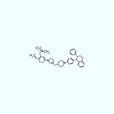 C=CC1=C(CN(C)C)C=C(N2CCN(CC3CCN(c4ccc(C5c6ccccc6CCC5c5ccccc5)cc4)CC3)C2)CC1